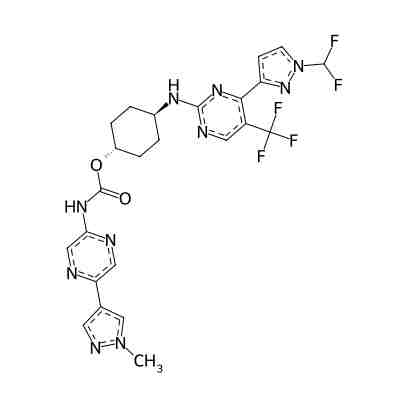 Cn1cc(-c2cnc(NC(=O)O[C@H]3CC[C@H](Nc4ncc(C(F)(F)F)c(-c5ccn(C(F)F)n5)n4)CC3)cn2)cn1